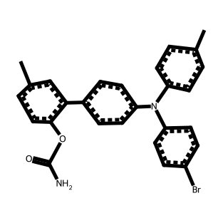 Cc1ccc(N(c2ccc(Br)cc2)c2ccc(-c3cc(C)ccc3OC(N)=O)cc2)cc1